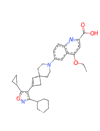 CCOc1cc(C(=O)O)nc2ccc(N3CCC4(C=C(c5c(C6CCCCC6)noc5C5CC5)C4)CC3)cc12